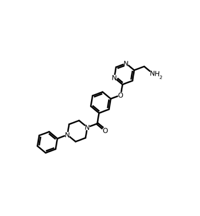 NCc1cc(Oc2cccc(C(=O)N3CCN(c4ccccc4)CC3)c2)ncn1